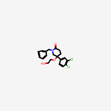 O=C1CCC(OCCO)(c2ccc(Cl)c(Cl)c2)CN1Cc1ccccc1